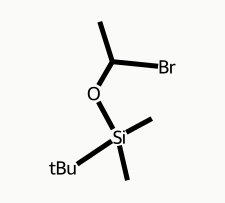 CC(Br)O[Si](C)(C)C(C)(C)C